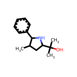 CC1CC(C(C)(C)O)NC1c1ccccc1